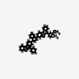 C=C/C=C(\C=C/C)N1c2ccccc2C2c3ccc(-c4ccc(-c5ccc6c7c8ccccc8oc7n(-c7ccccc7)c6c5)c5ccccc45)cc3OC21